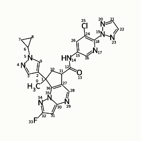 CC1(c2cnn(C3CC3)c2)CC(C(=O)Nc2cnc(-n3nccn3)c(Cl)c2)c2cnc3cc(F)nn3c21